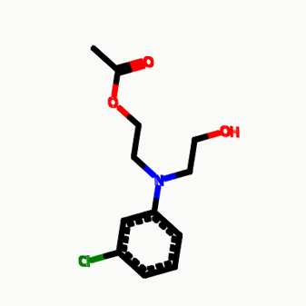 CC(=O)OCCN(CCO)c1cccc(Cl)c1